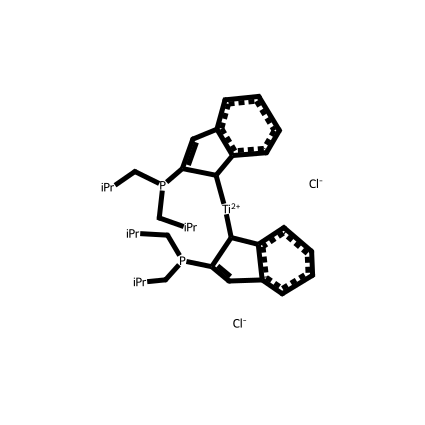 CC(C)CP(CC(C)C)C1=Cc2ccccc2[CH]1[Ti+2][CH]1C(P(CC(C)C)CC(C)C)=Cc2ccccc21.[Cl-].[Cl-]